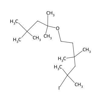 CC(C)(C)CC(C)(C)OCCC(C)(C)CC(C)(C)I